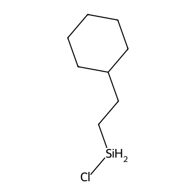 Cl[SiH2]CCC1CCCCC1